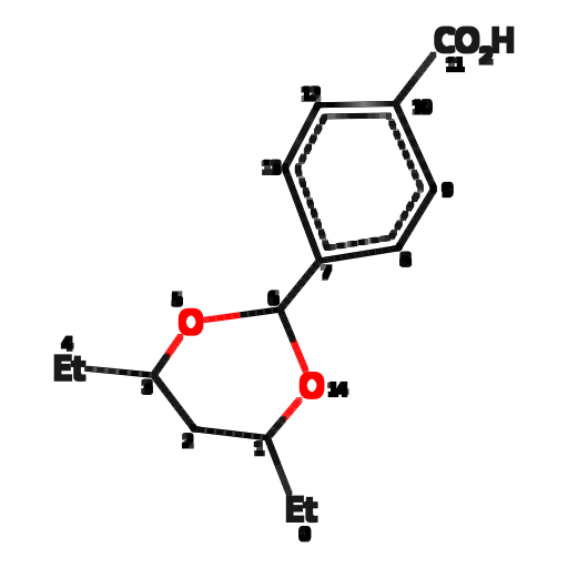 CCC1CC(CC)OC(c2ccc(C(=O)O)cc2)O1